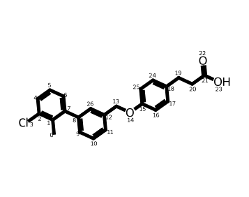 Cc1c(Cl)cccc1-c1cccc(COc2ccc(CCC(=O)O)cc2)c1